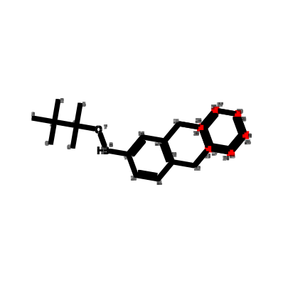 CC(C)(C)C(C)(C)OBc1ccc2c(c1)C1C3=C(C=CCC3)C2c2ccccc21